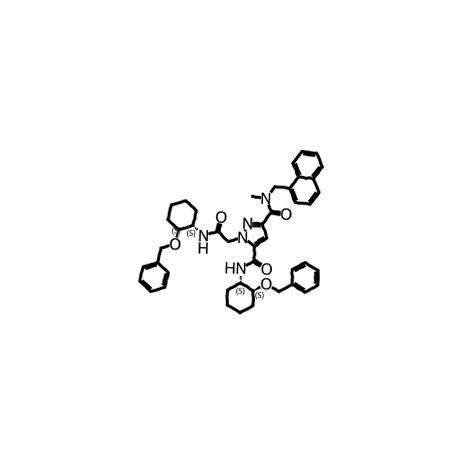 CN(Cc1cccc2ccccc12)C(=O)c1cc(C(=O)N[C@H]2CCCC[C@@H]2OCc2ccccc2)n(CC(=O)N[C@H]2CCCC[C@@H]2OCc2ccccc2)n1